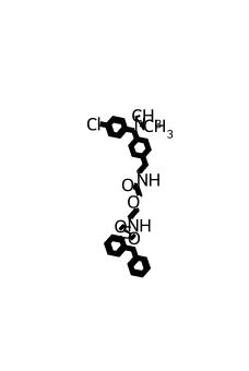 CN(C)C(c1ccc(Cl)cc1)C1CCC(CCNC(=O)COCCNS(=O)(=O)c2ccccc2Cc2ccccc2)CC1